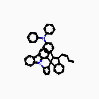 C=C/C=C\C1=C(c2ccc(N(c3ccccc3)c3ccccc3)cc2)C2(c3ccccc31)c1ccccc1-n1c3ccccc3c3cccc2c31